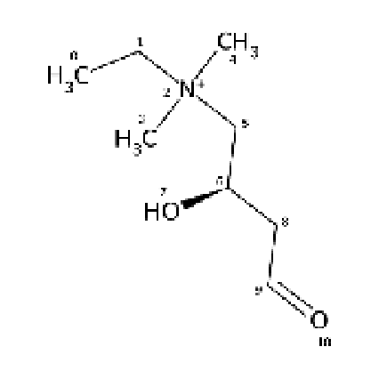 CC[N+](C)(C)C[C@H](O)CC=O